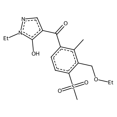 CCOCc1c(S(C)(=O)=O)ccc(C(=O)c2cnn(CC)c2O)c1C